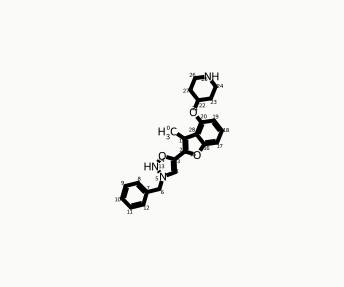 Cc1c(C2=CN(Cc3ccccc3)NO2)oc2cccc(OC3CCNCC3)c12